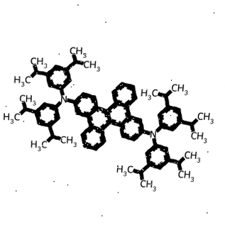 CC(C)c1cc(C(C)C)cc(N(c2cc(C(C)C)cc(C(C)C)c2)c2ccc3c(c2)c2ccccc2c2c4ccc(N(c5cc(C(C)C)cc(C(C)C)c5)c5cc(C(C)C)cc(C(C)C)c5)cc4c4ccccc4c32)c1